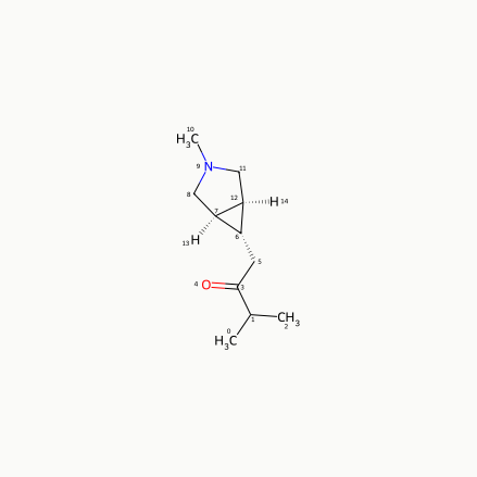 CC(C)C(=O)C[C@@H]1[C@H]2CN(C)C[C@@H]12